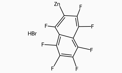 Br.Fc1c(F)c(F)c2c(F)[c]([Zn])c(F)c(F)c2c1F